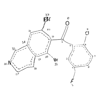 O=C(c1cc(F)ccc1Cl)c1c(Br)cc2cnccc2c1Br